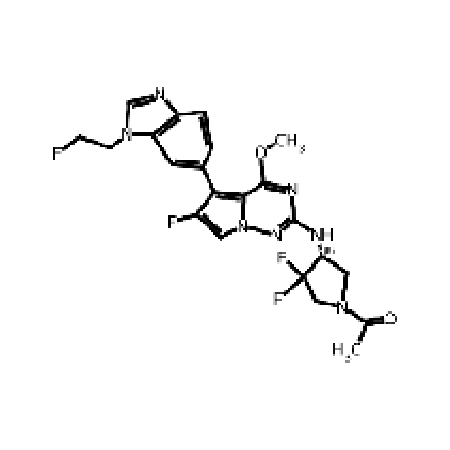 COc1nc(N[C@@H]2CN(C(C)=O)CC2(F)F)nn2cc(F)c(-c3ccc4ncn(CCF)c4c3)c12